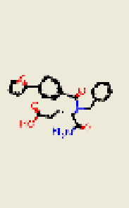 NC(=O)[C@H](CCC(=O)O)N(Cc1ccccc1)C(=O)c1ccc(-c2ccco2)cc1